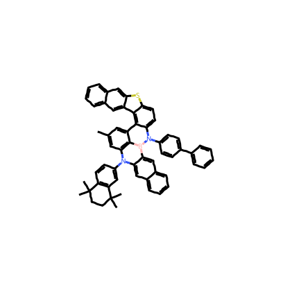 Cc1cc2c3c(c1)N(c1ccc4c(c1)C(C)(C)CCC4(C)C)c1cc4ccccc4cc1B3N(c1ccc(-c3ccccc3)cc1)c1ccc3sc4cc5ccccc5cc4c3c1-2